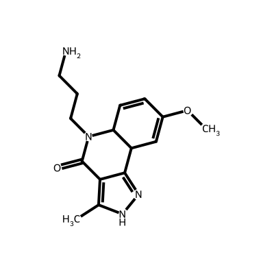 COC1=CC2c3n[nH]c(C)c3C(=O)N(CCCN)C2C=C1